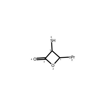 CCCC1OC(=O)C1S